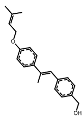 CC(C)=CCOc1ccc(C(C)=Cc2ccc(CO)cc2)cc1